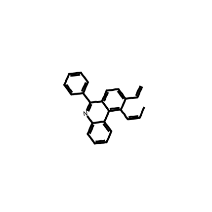 C=Cc1ccc2c(-c3ccccc3)nc3ccccc3c2c1/C=C\C